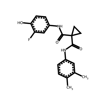 Cc1ccc(NC(=O)C2(C(=O)Nc3ccc(O)c(F)c3)CC2)cc1C